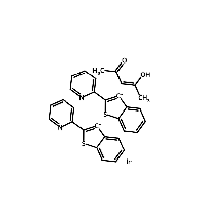 CC(=O)C=C(C)O.[Ir].[c-]1c(-c2ccccn2)sc2ccccc12.[c-]1c(-c2ccccn2)sc2ccccc12